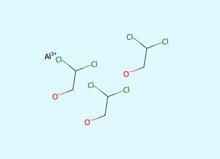 [Al+3].[O-]CC(Cl)Cl.[O-]CC(Cl)Cl.[O-]CC(Cl)Cl